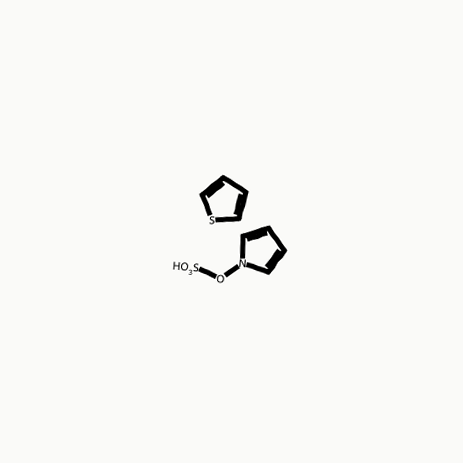 O=S(=O)(O)On1cccc1.c1ccsc1